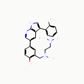 COc1ccccc1-c1c[nH]c2ncc(-c3ccc(O)c(CN(C)CCN(C)C)c3)cc12